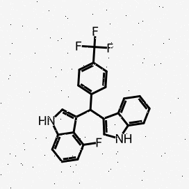 Fc1cccc2[nH]cc(C(c3ccc(C(F)(F)F)cc3)c3c[nH]c4ccccc34)c12